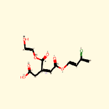 C=C(Cl)C=COC(=O)/C=C(/CC(=O)O)C(=O)OC=CO